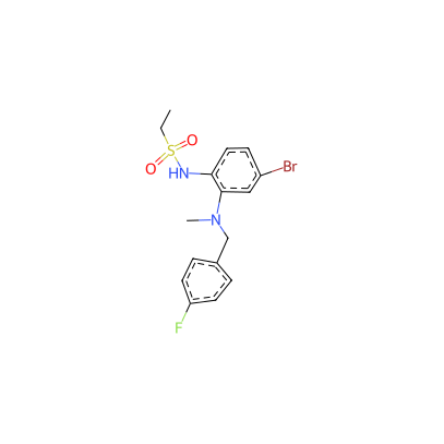 CCS(=O)(=O)Nc1ccc(Br)cc1N(C)Cc1ccc(F)cc1